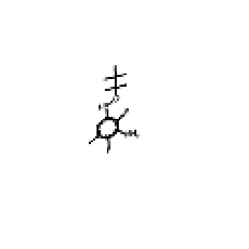 Cc1cc(BOC(C)(C)C(C)(C)C)c(F)c(N)c1F